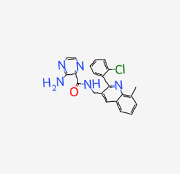 Cc1cccc2cc(CNC(=O)c3nccnc3N)c(-c3ccccc3Cl)nc12